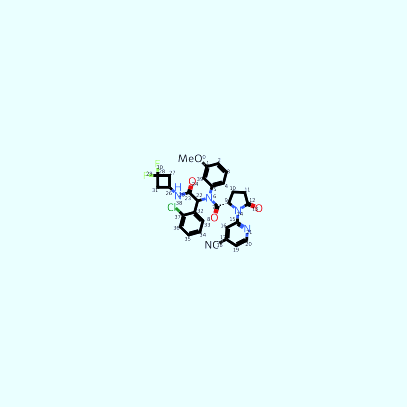 COc1cccc(N(C(=O)[C@@H]2CCC(=O)N2c2cc(C#N)ccn2)C(C(=O)NC2CC(F)(F)C2)c2ccccc2Cl)c1